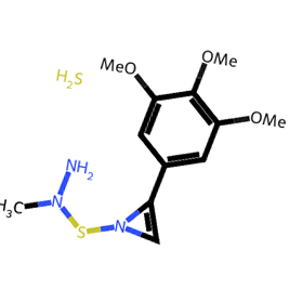 COc1cc(C2=CN2SN(C)N)cc(OC)c1OC.S